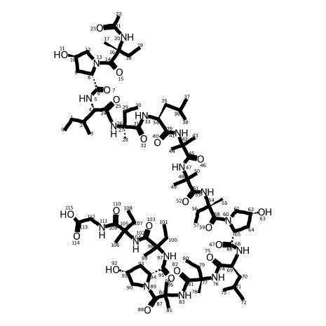 CCC(C)[C@H](NC(=O)[C@@H]1C[C@@H](O)CN1C(=O)[C@@](C)(CC)NC(C)=O)C(=O)N[C@@](C)(CC)C(=O)N[C@@H](CC(C)C)C(=O)NC(C)(C)C(=O)NC(C)(C)C(=O)N[C@@](C)(CC)C(=O)N1C[C@H](O)C[C@@H]1C(=O)N[C@@H](CC(C)C)C(=O)N[C@@](C)(CC)C(=O)NC(C)(C)C(=O)N1C[C@H](O)C[C@@H]1C(=O)NC(C)(CC)C(=O)NC(C)(CC)C(=O)NCC(=O)O